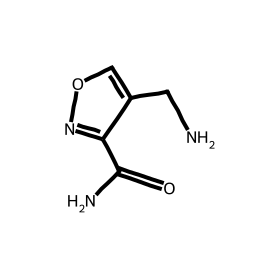 NCc1conc1C(N)=O